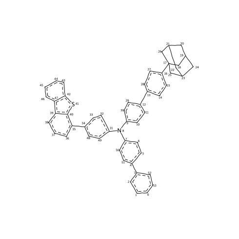 c1ccc(-c2ccc(N(c3ccc(-c4ccc(C56CC7CC(CC(C7)C5)C6)cc4)cc3)c3ccc(-c4cccc5c4sc4ccccc45)cc3)cc2)cc1